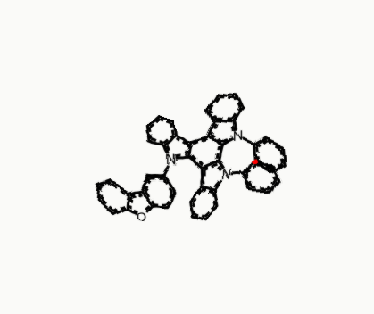 c1ccc(-n2c3ccccc3c3c4c5ccccc5n(-c5ccc6oc7ccccc7c6c5)c4c4c5ccccc5n(-c5ccccc5)c4c32)cc1